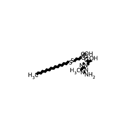 CCCCCCCCCCCCCCCCSSCCCCOP(=O)(O)COC(CO)Cn1cnc2c(C)nc(N)nc21